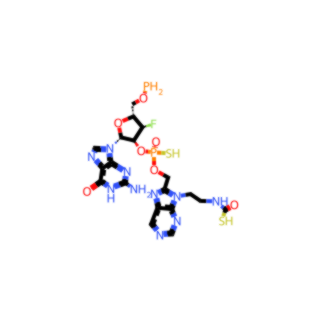 Nc1nc2c(ncn2[C@@H]2O[C@H](COP)[C@@H](F)[C@H]2OP(=O)(S)OCc2nc3cncnc3n2CCNC(=O)S)c(=O)[nH]1